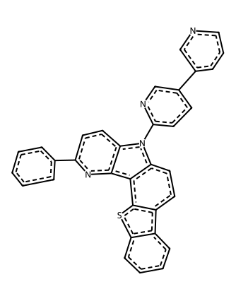 c1ccc(-c2ccc3c(n2)c2c4sc5ccccc5c4ccc2n3-c2ccc(-c3cccnc3)cn2)cc1